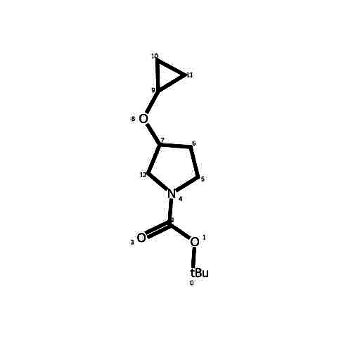 CC(C)(C)OC(=O)N1CCC(OC2CC2)C1